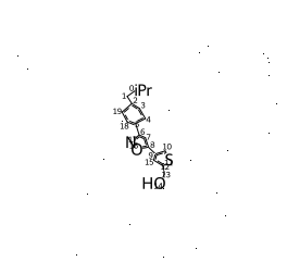 CC(C)Cc1ccc(-c2cc(-c3csc(CO)c3)on2)cc1